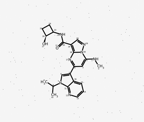 CNc1cc(-c2cn(C(C)C)c3ncccc23)nc2c(C(=O)NC3CC[C@@H]3O)cnn12